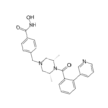 C[C@@H]1CN(Cc2ccc(C(=O)NO)cc2)C[C@H](C)N1C(=O)c1ccccc1-c1cccnc1